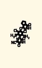 Bc1c(Cl)c(Oc2n[nH]c(=O)c3c2CCC3)c(Cl)c(B)c1-n1nc(C#N)c(=O)[nH]c1=O